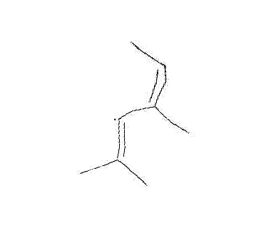 CC=C(C)[C]=C(C)C